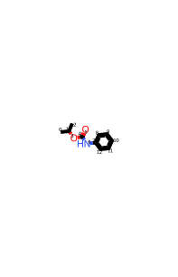 CC(C)OC(=O)Nc1cc[c]cc1